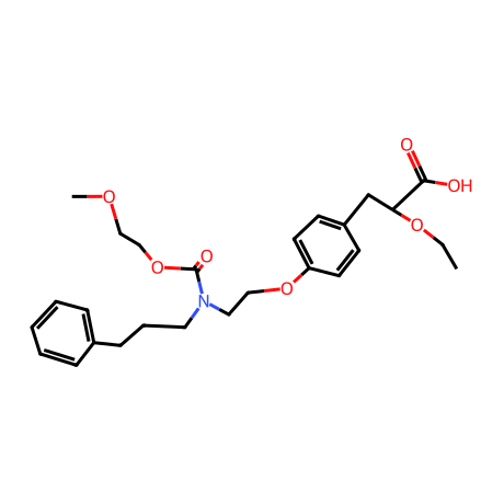 CCOC(Cc1ccc(OCCN(CCCc2ccccc2)C(=O)OCCOC)cc1)C(=O)O